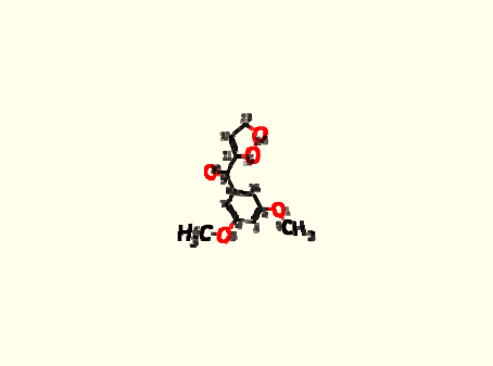 COc1cc(OC)cc(C(=O)C2=CCOO2)c1